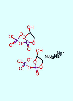 O=P([O-])([O-])OP1(=O)OCC(O)O1.O=P([O-])([O-])OP1(=O)OCC(O)O1.[Na+].[Na+].[Na+].[Na+]